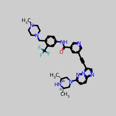 C[C@@H]1CN(c2ccc3ncc(C#Cc4cncc(C(=O)Nc5ccc(CN6CCN(C)CC6)c(C(F)(F)F)c5)c4)n3n2)C[C@H](C)N1